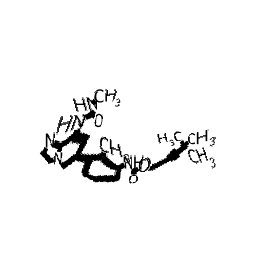 CNC(=O)Nc1cc(-c2cccc(NC(=O)OCC#CC(C)(C)C)c2C)cn2ccnc12